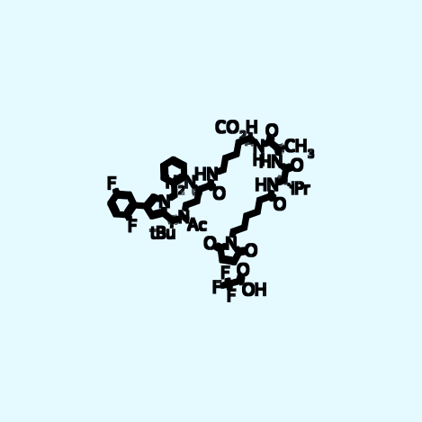 CC(=O)N(CC[C@H](N)C(=O)NCCCC[C@H](NC(=O)[C@H](C)NC(=O)[C@@H](NC(=O)CCCCCN1C(=O)C=CC1=O)C(C)C)C(=O)O)[C@@H](c1cc(-c2cc(F)ccc2F)cn1Cc1ccccc1)C(C)(C)C.O=C(O)C(F)(F)F